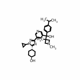 CC(C)c1ccc(C(O)(c2cncc(-c3nc([C@H]4CC[C@H](O)CC4)n(C4CC4)n3)c2)C2(C)CN(C)C2)cc1